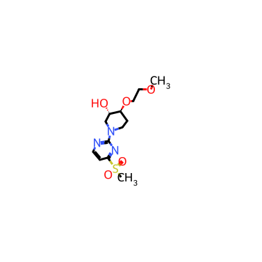 COCCO[C@H]1CCN(c2nccc(S(C)(=O)=O)n2)C[C@@H]1O